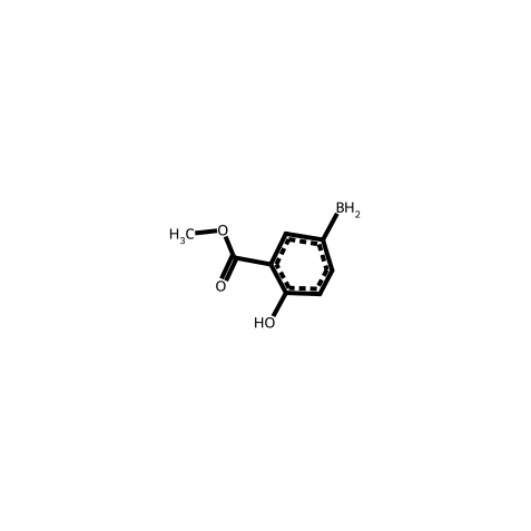 Bc1ccc(O)c(C(=O)OC)c1